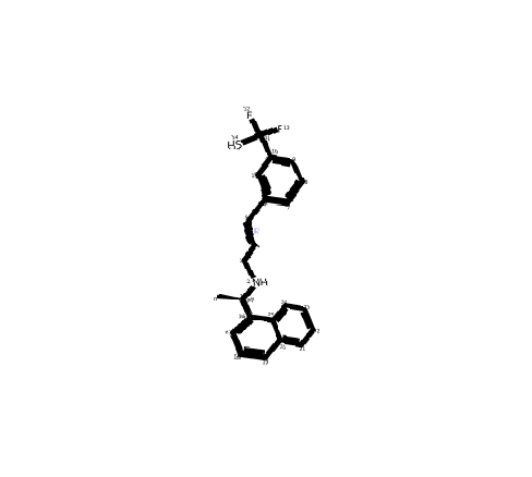 C[C@@H](NC/C=C/c1cccc(C(F)(F)S)c1)c1cccc2ccccc12